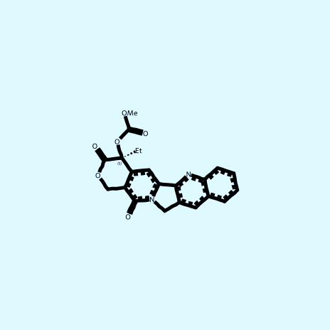 CC[C@@]1(OC(=O)OC)C(=O)OCc2c1cc1n(c2=O)Cc2cc3ccccc3nc2-1